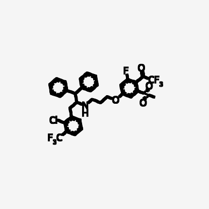 CS(=O)(=O)c1cc(OCCCNC(Cc2cccc(C(F)(F)F)c2Cl)C(c2ccccc2)c2ccccc2)cc(F)c1C(=O)C(F)(F)F